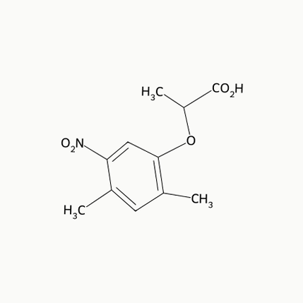 Cc1cc(C)c([N+](=O)[O-])cc1OC(C)C(=O)O